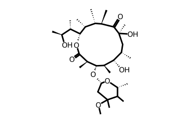 COC1(C)C[C@H](O[C@H]2[C@H](C)[C@@H](O)[C@@H](C)C[C@](C)(O)C(=O)[C@H](C)[C@@H](C)[C@@H](C)[C@@H]([C@@H](C)[C@H](C)O)OC(=O)[C@@H]2C)O[C@H](C)C1C